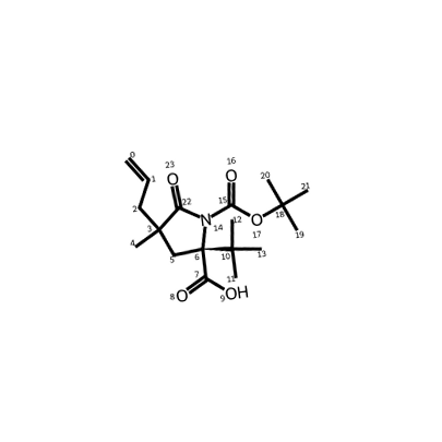 C=CCC1(C)C[C@](C(=O)O)(C(C)(C)C)N(C(=O)OC(C)(C)C)C1=O